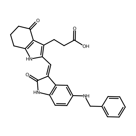 O=C(O)CCc1c(C=C2C(=O)Nc3ccc(NCc4ccccc4)cc32)[nH]c2c1C(=O)CCC2